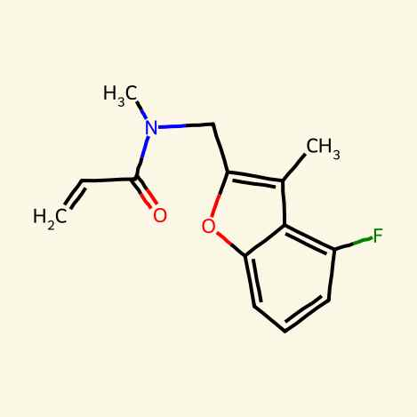 C=CC(=O)N(C)Cc1oc2cccc(F)c2c1C